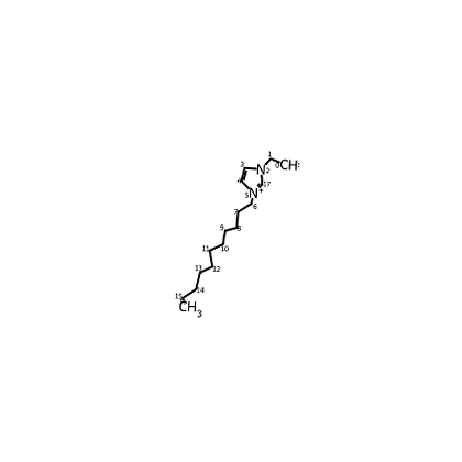 [CH]Cn1cc[n+](CCCCCCCCCCC)c1